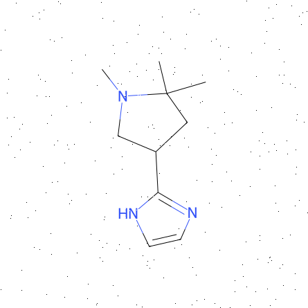 CN1CC(c2ncc[nH]2)CC1(C)C